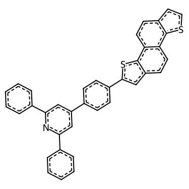 c1ccc(-c2cc(-c3ccc(-c4cc5ccc6c(ccc7ccsc76)c5s4)cc3)cc(-c3ccccc3)n2)cc1